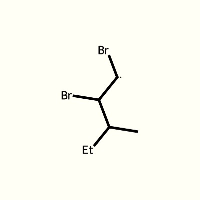 CCC(C)C(Br)[CH]Br